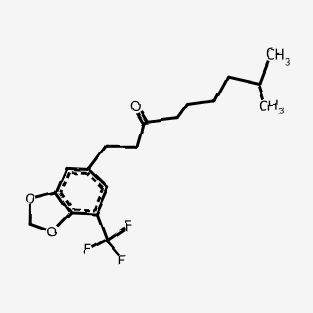 CC(C)CCCCC(=O)CCc1cc2c(c(C(F)(F)F)c1)OCO2